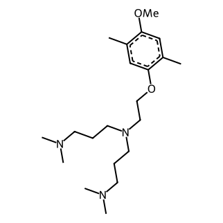 COc1cc(C)c(OCCN(CCCN(C)C)CCCN(C)C)cc1C